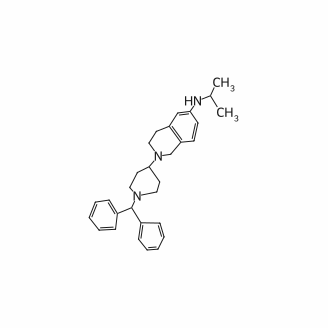 CC(C)Nc1ccc2c(c1)CCN(C1CCN(C(c3ccccc3)c3ccccc3)CC1)C2